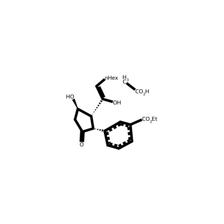 CC(=O)O.CCCCCCC=C(O)[C@H]1[C@H](O)CC(=O)[C@H]1c1cccc(C(=O)OCC)c1